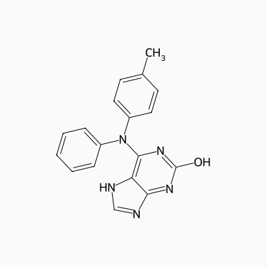 Cc1ccc(N(c2ccccc2)c2nc(O)nc3nc[nH]c23)cc1